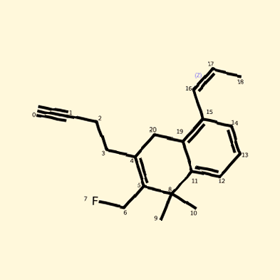 C#CCCC1=C(CF)C(C)(C)c2cccc(/C=C\C)c2C1